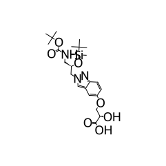 CC(C)(C)OC(=O)NC[C@H](Cn1cc2cc(OC[C@@H](O)C(=O)O)ccc2n1)O[Si](C)(C)C(C)(C)C